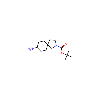 CC(C)(C)OC(=O)N1CCC2(CCC(N)CC2)C1